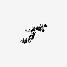 CN1C(=O)CCC1OC(=O)N1CCC(Cc2nc(N)c3ncn([C@@H]4O[C@H](C(=O)NC5CC5)C(O)C4O)c3n2)CC1